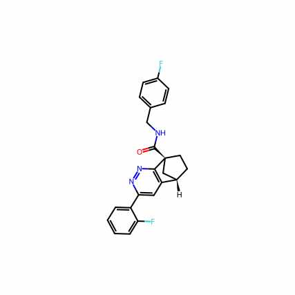 O=C(NCc1ccc(F)cc1)[C@@]12CC[C@@H](C1)c1cc(-c3ccccc3F)nnc12